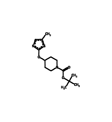 Cc1cnc(OC2CCN(C(=O)OC(C)(C)C)CC2)s1